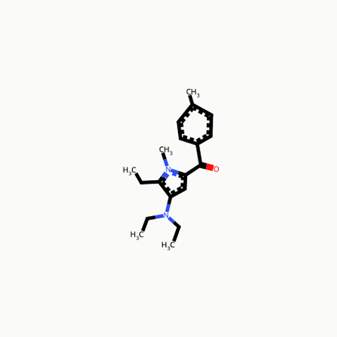 CCc1c(N(CC)CC)cc(C(=O)c2ccc(C)cc2)n1C